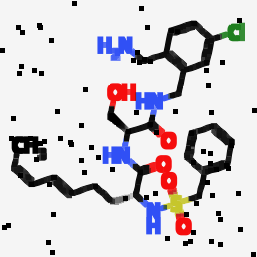 C/C=C\C=C\CC[C@@H](NS(=O)(=O)Cc1ccccc1)C(=O)N[C@@H](CO)C(=O)NCc1cc(Cl)ccc1CN